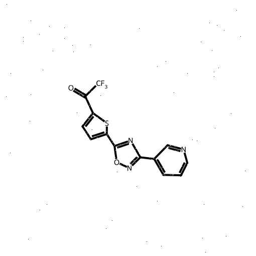 O=C(c1ccc(-c2nc(-c3cccnc3)no2)s1)C(F)(F)F